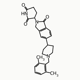 Cc1cccc(C)c1CN1CCC(c2ccc3c(c2)CN(C2CCC(=O)NC2=O)C3=O)CC1